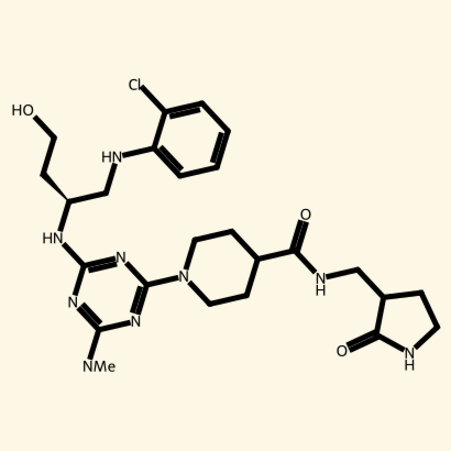 CNc1nc(N[C@@H](CCO)CNc2ccccc2Cl)nc(N2CCC(C(=O)NCC3CCNC3=O)CC2)n1